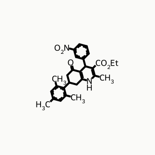 CCOC(=O)C1=C(C)NC2=C(C(=O)CC(c3c(C)cc(C)cc3C)C2)C1c1cccc([N+](=O)[O-])c1